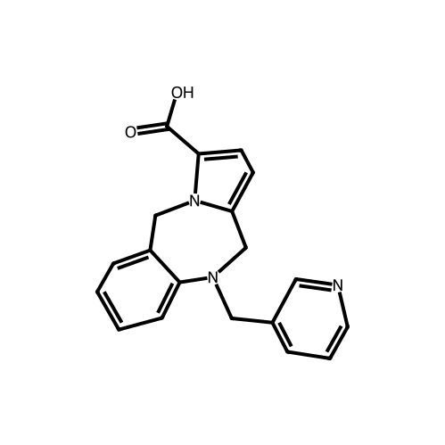 O=C(O)c1ccc2n1Cc1ccccc1N(Cc1cccnc1)C2